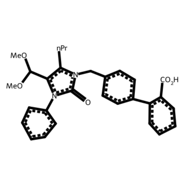 CCCc1c(C(OC)OC)n(-c2ccccc2)c(=O)n1Cc1ccc(-c2ccccc2C(=O)O)cc1